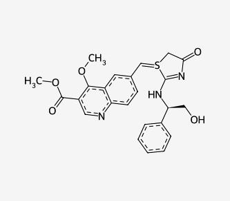 COC(=O)c1cnc2ccc(/C=S3/CC(=O)N=C3N[C@@H](CO)c3ccccc3)cc2c1OC